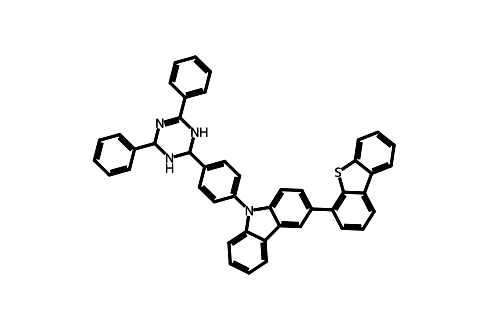 c1ccc(C2=NC(c3ccccc3)NC(c3ccc(-n4c5ccccc5c5cc(-c6cccc7c6sc6ccccc67)ccc54)cc3)N2)cc1